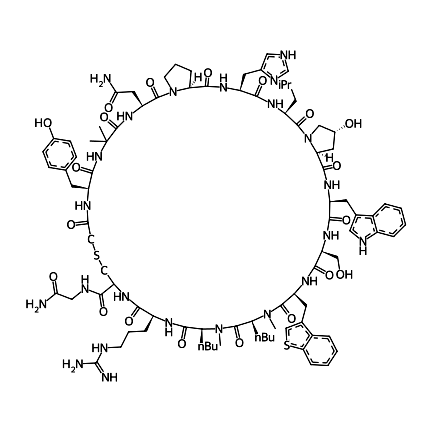 CCCC[C@H]1C(=O)N(C)[C@@H](CCCC)C(=O)N[C@@H](CCCNC(=N)N)C(=O)NC(C(=O)NCC(N)=O)CSCC(=O)N[C@@H](Cc2ccc(O)cc2)C(=O)NC(C)(C)C(=O)N[C@@H](CC(N)=O)C(=O)N2CCC[C@H]2C(=O)N[C@@H](Cc2c[nH]cn2)C(=O)N[C@@H](CC(C)C)C(=O)N2C[C@H](O)C[C@H]2C(=O)N[C@@H](Cc2c[nH]c3ccccc23)C(=O)N[C@@H](CO)C(=O)N[C@@H](Cc2csc3ccccc23)C(=O)N1C